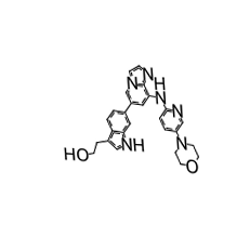 OCCc1c[nH]c2cc(-c3cc(Nc4ccc(N5CCOCC5)cn4)c4nccn4c3)ccc12